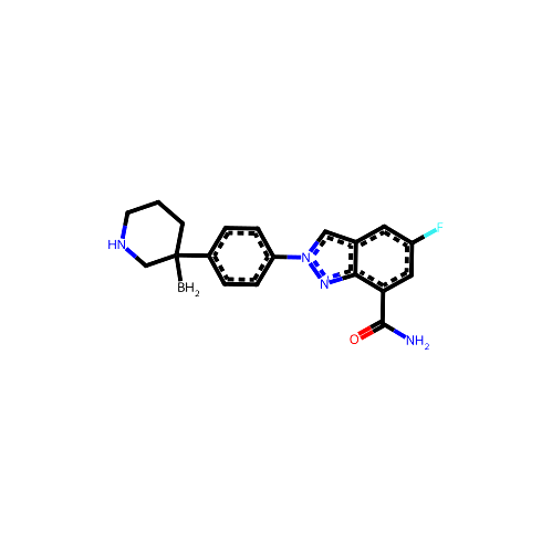 BC1(c2ccc(-n3cc4cc(F)cc(C(N)=O)c4n3)cc2)CCCNC1